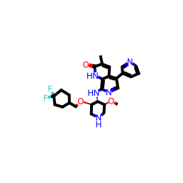 CO[C@H]1CNC[C@@H](OCC2CCC(F)(F)CC2)[C@@H]1Nc1ncc(-c2cccnc2)c2cc(C)c(=O)[nH]c12